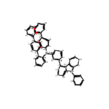 C1=Cc2c(n(-c3ccccc3)c3cccc(-c4cccc(N(c5ccc(-c6ccccc6)cc5)c5ccccc5-c5ccc(-c6ccccc6)cc5)c4)c23)CC1